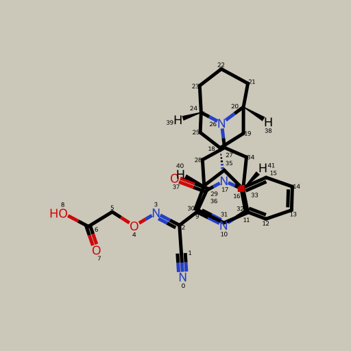 N#C/C(=N\OCC(=O)O)c1nc2ccccc2n([C@H]2C[C@H]3CCC[C@@H](C2)N3C2C[C@H]3CCC[C@@H](C2)C3)c1=O